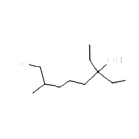 CCC(O)(CC)CCCC(C)CO